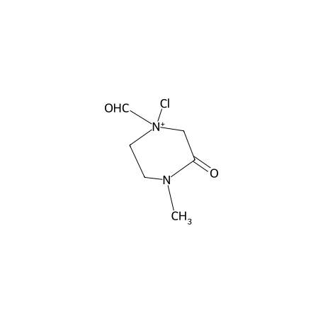 CN1CC[N+](Cl)(C=O)CC1=O